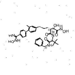 Cc1cc(CCC[C@@H](C(=O)N[C@H](C(=O)N[C@H](C)c2ccccc2)C(C)(C)C)[C@H](O)C(=O)NO)ccc1-c1ccc(C(=N)NO)cc1